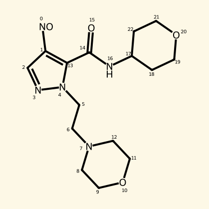 O=Nc1cnn(CCN2CCOCC2)c1C(=O)NC1CCOCC1